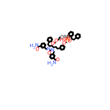 COCCOCOC1C(CCc2cccc(OCP(=O)(O)OC(Cc3ccccc3)c3ccccc3)c2)N(Cc2cccc(C(N)=O)c2)C(=O)N(Cc2cccc(C(N)=O)c2)C1Cc1ccccc1